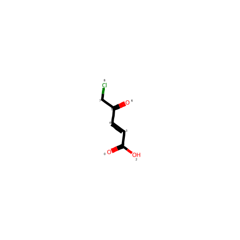 O=C(O)C=CC(=O)CCl